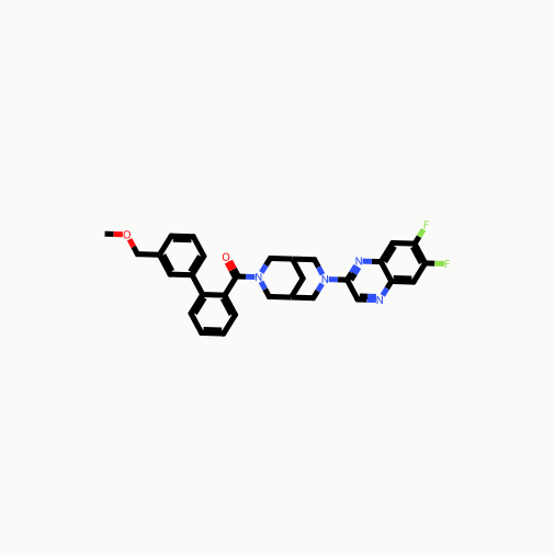 COCc1cccc(-c2ccccc2C(=O)N2CC3CC(C2)CN(c2cnc4cc(F)c(F)cc4n2)C3)c1